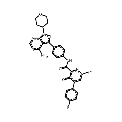 CC(C)n1cc(-c2ccc(F)cc2)c(=O)c(C(=O)Nc2ccc(-c3nn(C4CCOCC4)c4ncnc(N)c34)cc2)n1